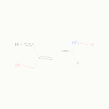 C=C/C(=C\CC(Br)NO)CO